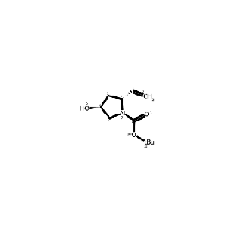 C=C[C@H]1C[C@H](O)CN1C(=O)OC(C)(C)C